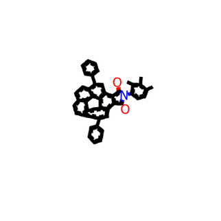 Cc1ccc(-n2c(=O)c3c4cc(-c5ccccc5)c5ccc6ccc7c(-c8ccccc8)cc(c3c2=O)c2c7c6c5c42)c(C)c1C